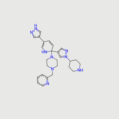 C1=CC(c2cnn(C3CCNCC3)c2)(N2CCN(Cc3ccccn3)CC2)NC=C1c1cn[nH]c1